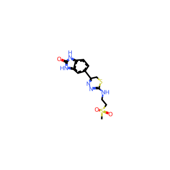 CS(=O)(=O)CCNC1=NN=C(c2ccc3[nH]c(=O)[nH]c3c2)CS1